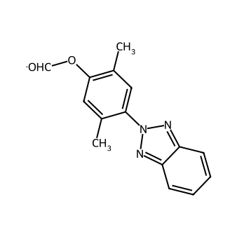 Cc1cc(-n2nc3ccccc3n2)c(C)cc1O[C]=O